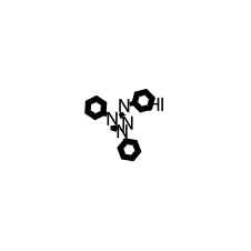 I.c1ccc([N-]c2nn(-c3ccccc3)c[n+]2-c2ccccc2)cc1